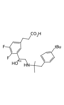 CC(C)(Cc1ccc(C(C)(C)C)cc1)NC[C@@H](O)c1cc(CCC(=O)O)cc(F)c1F